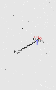 CCCCCCCCCCCCCCNC(C)(C)C(=O)O